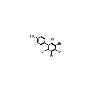 Oc1ccc(-c2c(Br)c(Br)c(Br)c(Br)c2Br)cc1